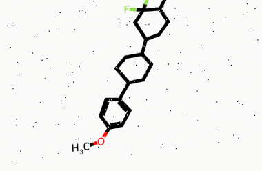 C=CC1CCC(C2CCC(c3ccc(OC)cc3)CC2)CC1(F)F